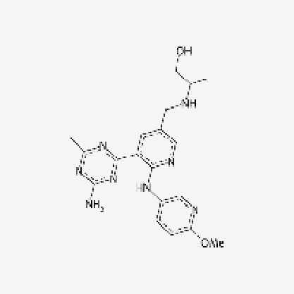 COc1ccc(Nc2ncc(CNC(C)CO)cc2-c2nc(C)nc(N)n2)cn1